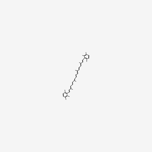 CC(/C=C/C=C(C)/C=C/c1c(C)ccc(C)c1C)=C\C=C\C=C(C)\C=C\C=C(C)\C=C\c1c(C)ccc(C)c1C